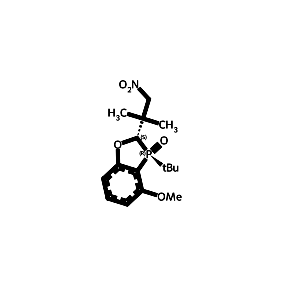 COc1cccc2c1[P@](=O)(C(C)(C)C)[C@@H](C(C)(C)C[N+](=O)[O-])O2